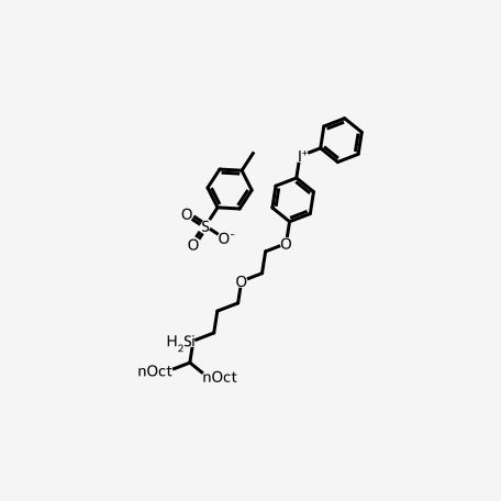 CCCCCCCCC(CCCCCCCC)[SiH2]CCCOCCOc1ccc([I+]c2ccccc2)cc1.Cc1ccc(S(=O)(=O)[O-])cc1